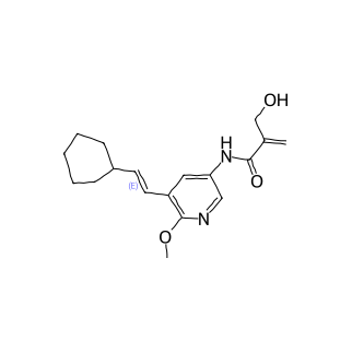 C=C(CO)C(=O)Nc1cnc(OC)c(/C=C/C2CCCCC2)c1